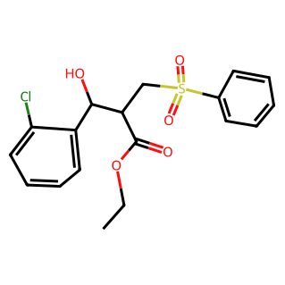 CCOC(=O)C(CS(=O)(=O)c1ccccc1)C(O)c1ccccc1Cl